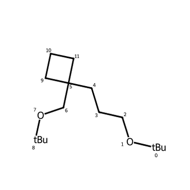 CC(C)(C)OCCCC1(COC(C)(C)C)CCC1